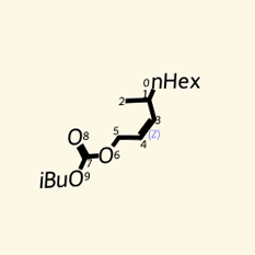 CCCCCCC(C)/C=C\COC(=O)OCC(C)C